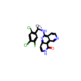 CC(Nc1nc2cc[nH]c(=O)c2c2cnccc12)c1cc(F)c(Cl)cc1Cl